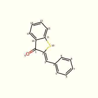 O=C1C(=Cc2ccccc2)Sc2ccccc21